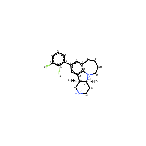 Fc1cccc(-c2cc3c4c(c2)[C@@H]2CNCC[C@@H]2N4CCCC3)c1F